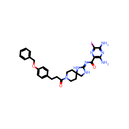 Nc1nc(N)c(C(=O)/N=C2\NCC3(CCN(C(=O)CCc4ccc(OCc5ccccc5)cc4)CC3)N2)nc1I